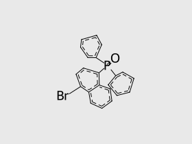 O=P(c1ccccc1)(c1ccccc1)c1ccc(Br)c2ccccc12